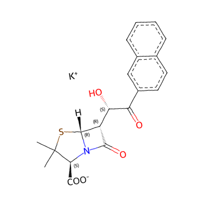 CC1(C)S[C@@H]2[C@H]([C@H](O)C(=O)c3ccc4ccccc4c3)C(=O)N2[C@H]1C(=O)[O-].[K+]